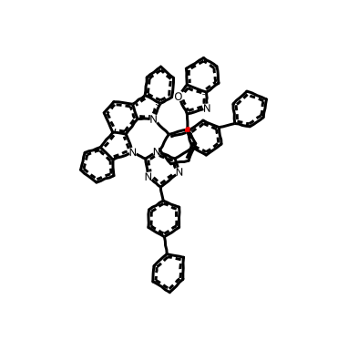 C1=CC(c2nc3ccccc3o2)=C(n2c3ccccc3c3ccc4c5ccccc5n(-c5nc(-c6ccc(-c7ccccc7)cc6)nc(-c6ccc(-c7ccccc7)cc6)n5)c4c32)CC1